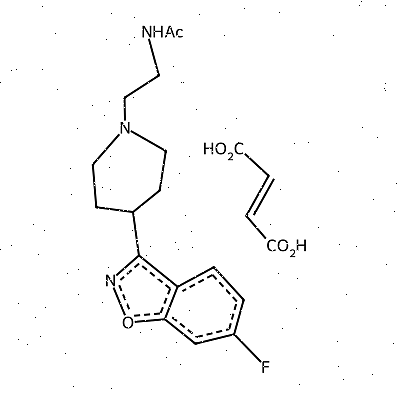 CC(=O)NCCN1CCC(c2noc3cc(F)ccc23)CC1.O=C(O)C=CC(=O)O